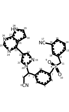 N#CCC(c1cccc(S(=O)(=O)Cc2cccc(C#N)c2)c1)n1cc(-c2ncnc3[nH]ccc23)cn1